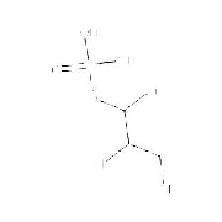 O=P(O)(O)OC(Br)C(Cl)CCl